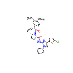 COc1ccc([C@H](OC)C(=O)N2[C@@H](C(=O)Nc3nc(-c4ccc(Cl)s4)cn3-c3ccccc3)CC[C@@H]2C)cc1OC